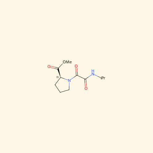 COC(=O)[C@@H]1CCCN1C(=O)C(=O)NC(C)C